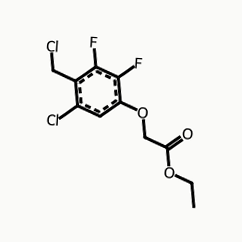 CCOC(=O)COc1cc(Cl)c(CCl)c(F)c1F